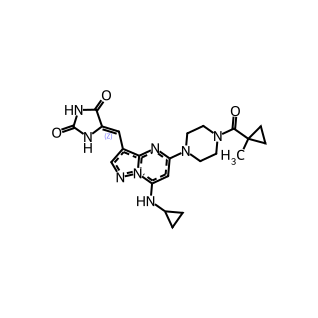 CC1(C(=O)N2CCN(c3cc(NC4CC4)n4ncc(/C=C5\NC(=O)NC5=O)c4n3)CC2)CC1